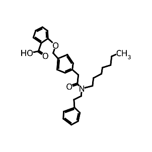 CCCCCCCN(CCc1ccccc1)C(=O)Cc1ccc(COc2ccccc2C(=O)O)cc1